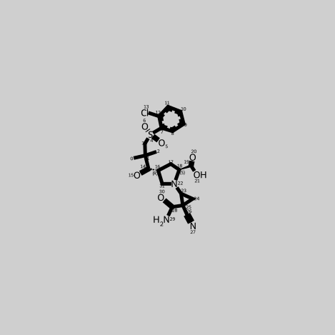 CC(C)(CS(=O)(=O)c1ccccc1Cl)C(=O)[C@@H]1C[C@@H](C(=O)O)N(C2CC2(C#N)C(N)=O)C1